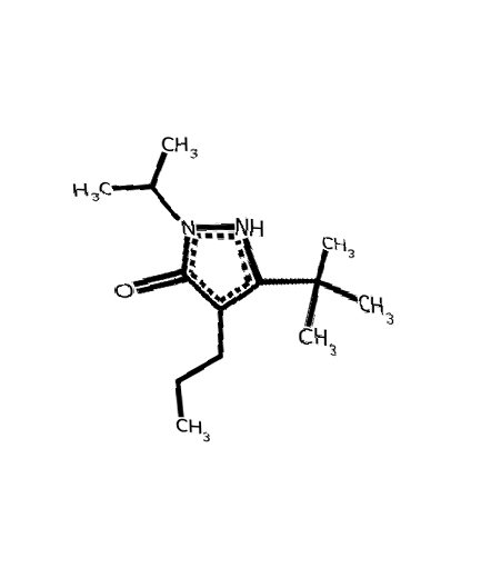 CCCc1c(C(C)(C)C)[nH]n(C(C)C)c1=O